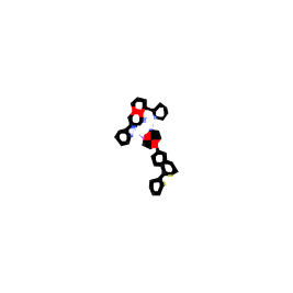 C1=CCC(N(c2ccc(-c3ccc4c(ccc5sc6ccccc6c54)c3)cc2)c2cccc3c4ccccc4n(-c4ccccc4)c23)C(c2ccccc2)=C1